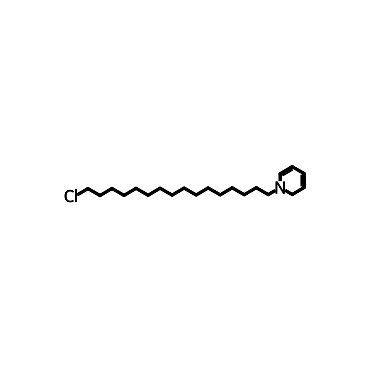 ClCCCCCCCCCCCCCCCCN1C=CC=CC1